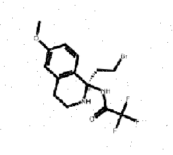 COc1ccc2c(c1)CCN[C@]2(CCBr)NC(=O)C(F)(F)F